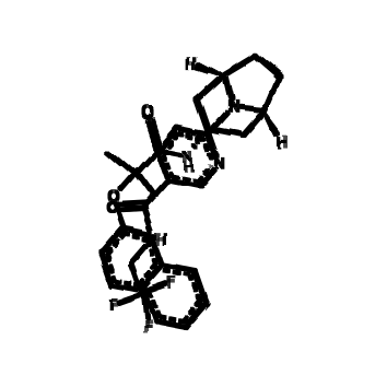 CC(C)(Oc1ccc2ccccc2c1)C(=O)N[C@H]1C[C@H]2CC[C@@H](C1)N2c1ccc(C(=O)NCC(F)(F)F)cn1